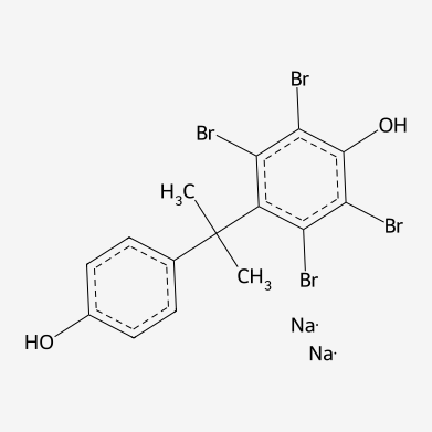 CC(C)(c1ccc(O)cc1)c1c(Br)c(Br)c(O)c(Br)c1Br.[Na].[Na]